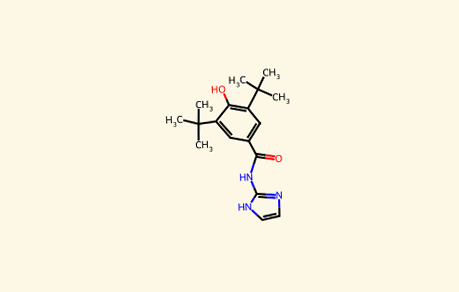 CC(C)(C)c1cc(C(=O)Nc2ncc[nH]2)cc(C(C)(C)C)c1O